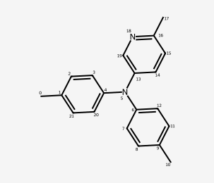 Cc1ccc(N(c2ccc(C)cc2)c2ccc(C)nc2)cc1